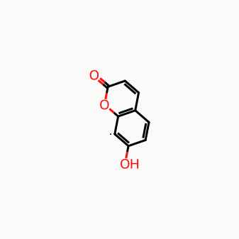 O=c1ccc2ccc(O)[c]c2o1